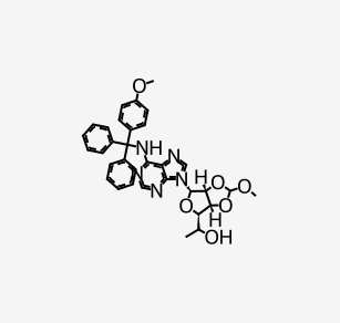 COc1ccc(C(Nc2ncnc3c2ncn3[C@@H]2O[C@H](C(C)O)[C@H]3OC(OC)O[C@H]32)(c2ccccc2)c2ccccc2)cc1